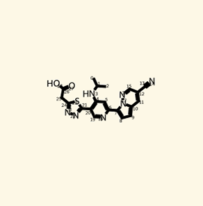 CC(C)Nc1cc(-c2ccc3cc(C#N)cnn23)ncc1-c1nnc(CC(=O)O)s1